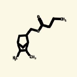 CCCC(=O)OCC1CC2CC1C(C)C2C